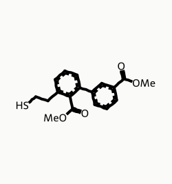 COC(=O)c1cccc(-c2cccc(CCS)c2C(=O)OC)c1